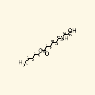 CCCCCOC(=O)CCCCCNCCO